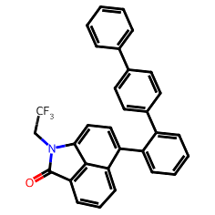 O=C1c2cccc3c(-c4ccccc4-c4ccc(-c5ccccc5)cc4)ccc(c23)N1CC(F)(F)F